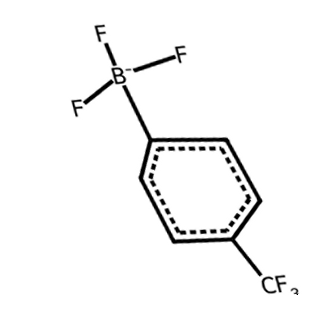 F[B-](F)(F)c1ccc(C(F)(F)F)cc1